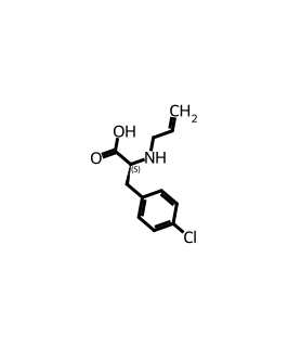 C=CCN[C@@H](Cc1ccc(Cl)cc1)C(=O)O